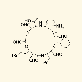 CC(C)C[C@H]1C(C=O)N[C@@H](C2CCCCC2)C(C=O)N[C@@H](CN)C(C=O)N[C@H]([C@H](C)O)C(C=O)NCC(C=O)O[C@H](CCC(C)(C)C)[C@H](C)C(C=O)N1C